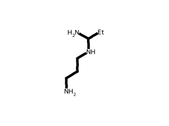 CCC(N)NCCCN